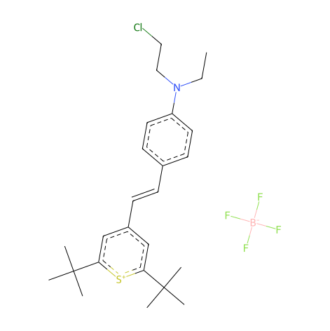 CCN(CCCl)c1ccc(C=Cc2cc(C(C)(C)C)[s+]c(C(C)(C)C)c2)cc1.F[B-](F)(F)F